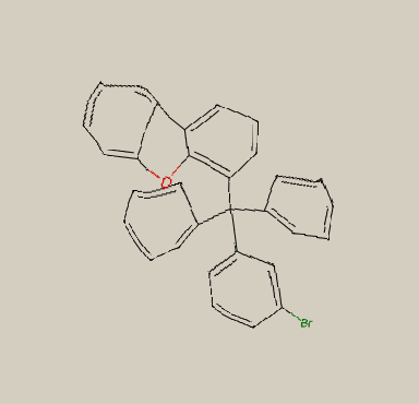 Brc1cccc(C(c2ccccc2)(c2ccccc2)c2cccc3c2oc2ccccc23)c1